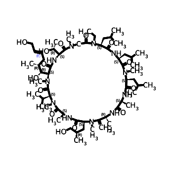 C=C1[C@@H](C)NC(=O)[C@H](C)NC(=O)[C@H](CC(C)C)N(C)C(=O)[C@H](CC(C)C)NC(=O)[C@H](CC(C)C)N(CC)C(=O)CN(C)C(=O)[C@H]([C@@H](C)O)NC(=O)[C@H]([C@H](O)[C@H](C)C/C=C/CO)N(C)C(=O)[C@H](C(C)C)N(C)C(=O)[C@H](C)NC(=O)[C@H](C[C@@H](C)CO)N1C